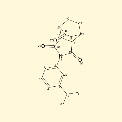 CC(C)c1cccc(N2C(=O)C3C4CCC(C(=O)C4)C3C2=O)c1